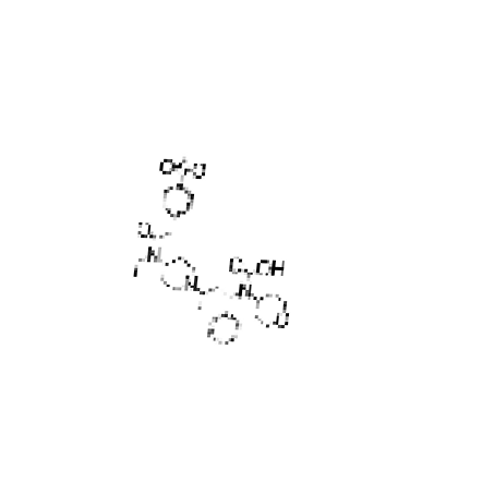 CCN(C(=O)Cc1ccc(S(C)(=O)=O)cc1)C1CCN(C(C)C[C@@H](c2ccccc2)N(C(=O)O)C2CCOCC2)CC1